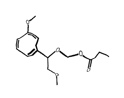 CCC(=O)OCOC(COC)c1cccc(OC)c1